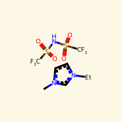 CCn1cc[n+](C)c1.O=S(=O)(NS(=O)(=O)C(F)(F)F)C(F)(F)F